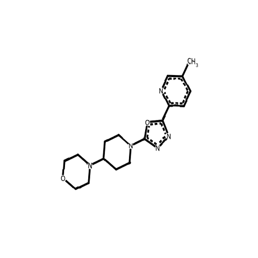 Cc1ccc(-c2nnc(N3CCC(N4CCOCC4)CC3)o2)nc1